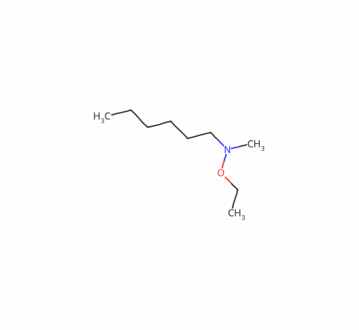 CCCCCCN(C)OCC